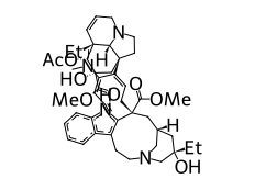 C#C/C=C(\C(=C/C[C@@]1(C(=O)OC)C[C@H]2CN(CCc3c1[nH]c1ccccc31)C[C@](O)(CC)C2)[C@]12CCN3CC=C[C@](CC)([C@H]31)[C@@H](OC(C)=O)[C@](O)(C(=O)OC)C2)N(C)C